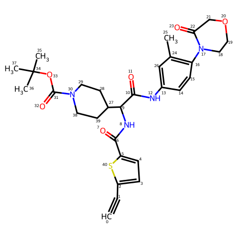 C#Cc1ccc(C(=O)NC(C(=O)Nc2ccc(N3CCOCC3=O)c(C)c2)C2CCN(C(=O)OC(C)(C)C)CC2)s1